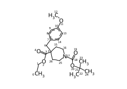 CCOC(=O)C1(Cc2ccc(OC)cc2)CCN(C(=O)OC(C)(C)C)CC1